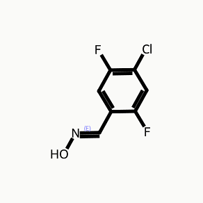 O/N=C/c1cc(F)c(Cl)cc1F